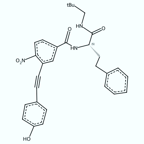 CC(C)(C)CNC(=O)[C@H](CCc1ccccc1)NC(=O)c1ccc([N+](=O)[O-])c(C#Cc2ccc(O)cc2)c1